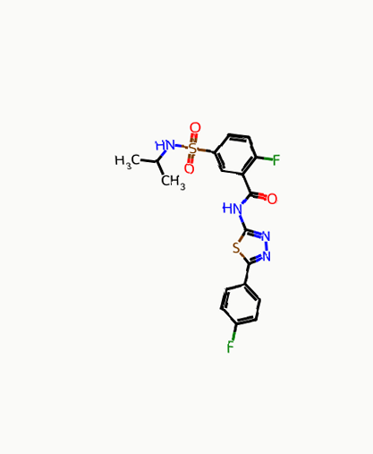 CC(C)NS(=O)(=O)c1ccc(F)c(C(=O)Nc2nnc(-c3ccc(F)cc3)s2)c1